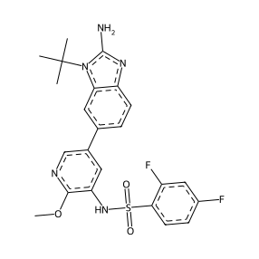 COc1ncc(-c2ccc3nc(N)n(C(C)(C)C)c3c2)cc1NS(=O)(=O)c1ccc(F)cc1F